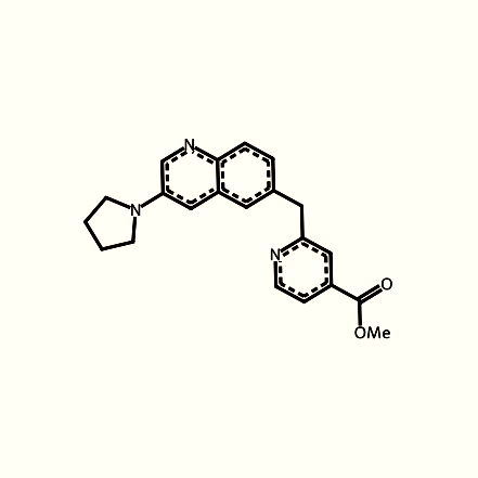 COC(=O)c1ccnc(Cc2ccc3ncc(N4CCCC4)cc3c2)c1